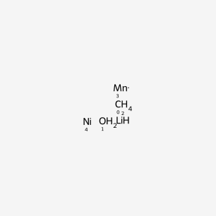 C.O.[LiH].[Mn].[Ni]